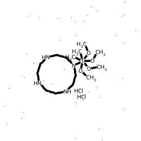 C[O][Ti]([CH3])([CH3])([O]C)([O]C)([O]C)[N]1CCNCCNCCNCC1.Cl.Cl